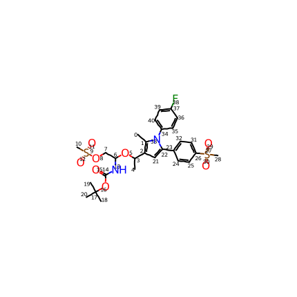 Cc1c(C(C)OC(COS(C)(=O)=O)NC(=O)OC(C)(C)C)cc(-c2ccc(S(C)(=O)=O)cc2)n1-c1ccc(F)cc1